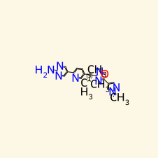 CC(C)[C@@](C)(c1ccc(-c2cnc(N)nc2)nc1)c1noc(-c2cnn(C)c2)n1